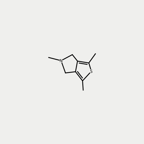 Cc1sc(C)c2c1CN(C)C2